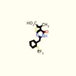 Cc1c(C(=O)O)sc2nc(Cc3ccccc3SC(F)(F)F)[nH]c(=O)c12